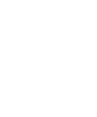 COc1c[c]cc(OC)c1CCC(c1ccccc1)c1ccccc1